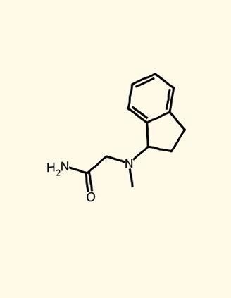 CN(CC(N)=O)C1CCc2ccccc21